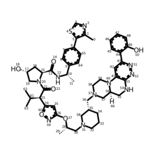 Cc1ncsc1-c1ccc([C@H](C)NC(=O)[C@@H]2C[C@@H](O)CN2C(=O)[C@@H](c2cc(O[C@@H](C)CN3CCC[C@@H](CN4CCN5c6cc(-c7ccccc7O)nnc6NC[C@H]5C4)C3)no2)C(C)C)cc1